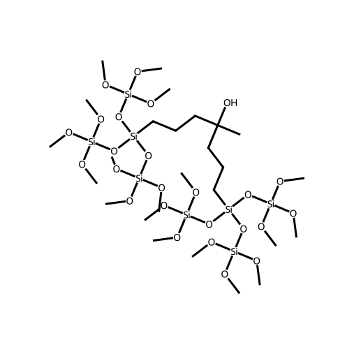 CO[Si](OC)(OC)O[Si](CCCC(C)(O)CCC[Si](O[Si](OC)(OC)OC)(O[Si](OC)(OC)OC)O[Si](OC)(OC)OC)(O[Si](OC)(OC)OC)O[Si](OC)(OC)OC